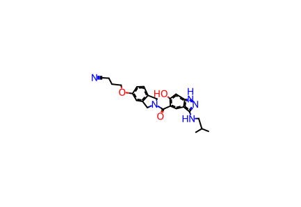 CC(C)CNc1n[nH]c2cc(O)c(C(=O)N3Cc4ccc(OCCCC#N)cc4C3)cc12